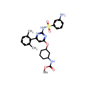 Cc1cccc(C)c1-c1cc(OC2CCCC(NC(=O)OC(C)(C)C)C2)nc(NS(=O)(=O)c2cccc(N)c2)n1